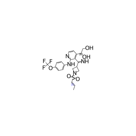 C/C=C/S(=O)(=O)N1CC(C(=N)c2c([C@@H](O)CO)ccnc2Nc2ccc(OC(F)(F)F)cc2)C1